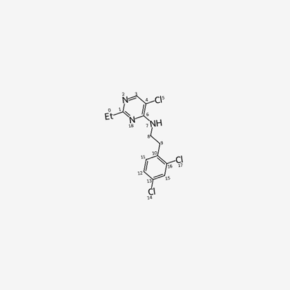 CCc1ncc(Cl)c(NCCc2ccc(Cl)cc2Cl)n1